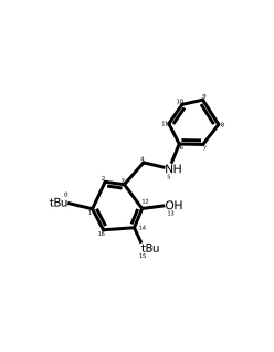 CC(C)(C)c1cc(CNc2ccccc2)c(O)c(C(C)(C)C)c1